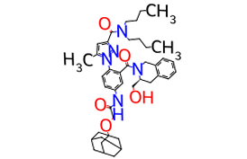 CCCCN(CCCC)C(=O)c1cc(C)n(-c2ccc(NC(=O)COC34CC5CC(CC(C5)C3)C4)cc2C(=O)N2Cc3ccccc3C[C@H]2CO)n1